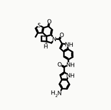 Cc1csc2c1[C@@]13CC[C@@H]1CN(C(=O)c1cc4cc(NC(=O)c5cc6cc(N)ccc6[nH]5)ccc4[nH]1)C3=CC2=O